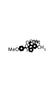 COC(=O)C(C(=O)C1(SCc2ccc(OC)cc2)CCCC1)c1ccc(C)cc1C